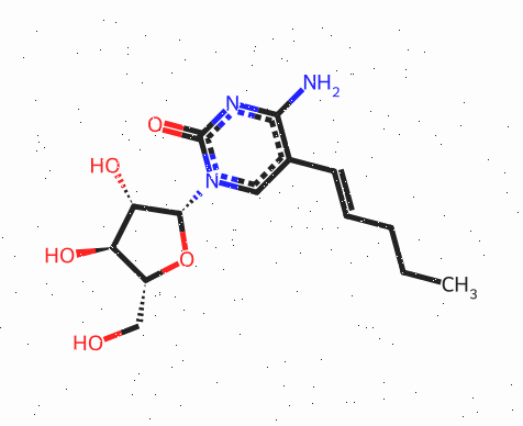 CCCC=Cc1cn([C@@H]2O[C@H](CO)[C@@H](O)[C@@H]2O)c(=O)nc1N